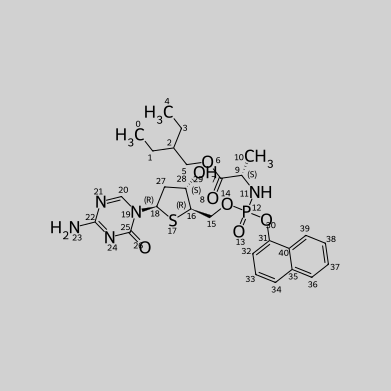 CCC(CC)COC(=O)[C@H](C)NP(=O)(OC[C@H]1S[C@@H](n2cnc(N)nc2=O)C[C@@H]1O)Oc1cccc2ccccc12